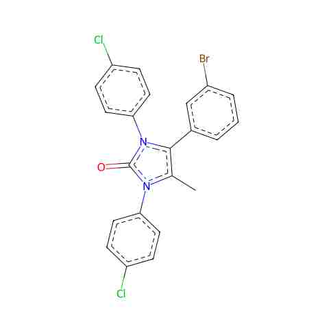 Cc1c(-c2cccc(Br)c2)n(-c2ccc(Cl)cc2)c(=O)n1-c1ccc(Cl)cc1